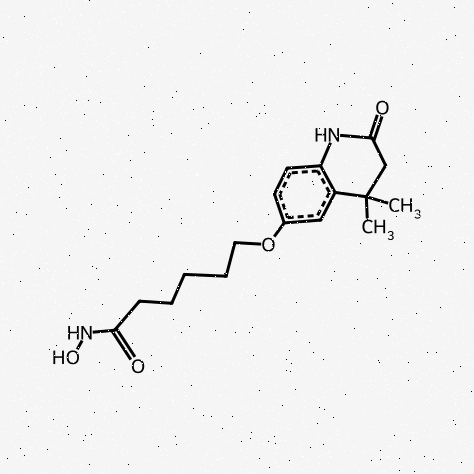 CC1(C)CC(=O)Nc2ccc(OCCCCCC(=O)NO)cc21